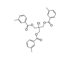 CCC(COC(=O)c1cccc(C)c1)(COC(=O)c1cccc(C)c1)COC(=O)c1cccc(C)c1